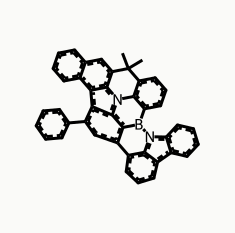 CC1(C)c2cccc3c2-n2c4c5c(cc(-c6ccccc6)c4c4c6ccccc6cc1c42)-c1cccc2c4ccccc4n(c12)B35